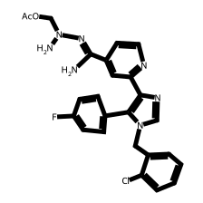 CC(=O)OCN(N)/N=C(\N)c1ccnc(-c2ncn(Cc3ccccc3Cl)c2-c2ccc(F)cc2)c1